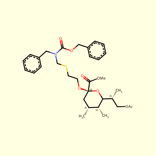 COC(=O)[C@@]1(OCCSCN(Cc2ccccc2)C(=O)OCc2ccccc2)C[C@@H](C)[C@@H](C)C([C@H](C)COC(C)=O)O1